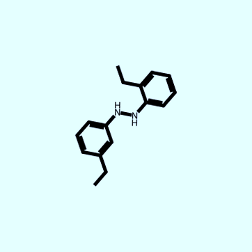 CCc1cccc(NNc2ccccc2CC)c1